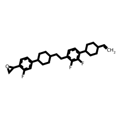 C=CC1CCC(c2ccc(CCC3CCC(c4ccc(C5CO5)c(F)c4)CC3)c(F)c2F)CC1